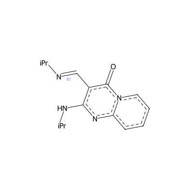 CC(C)/N=C/c1c(NC(C)C)nc2ccccn2c1=O